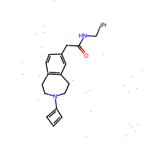 CC(C)CNC(=O)Cc1ccc2c(c1)CCN(C1=CC=C1)CC2